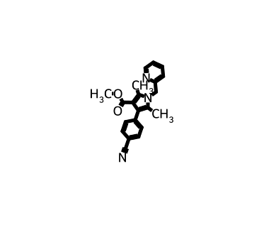 COC(=O)c1c(-c2ccc(C#N)cc2)c(C)n(Cc2ccccn2)c1C